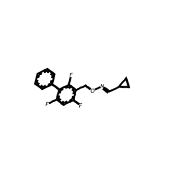 Fc1cc(F)c(-c2ccccc2)c(F)c1CON=CC1CC1